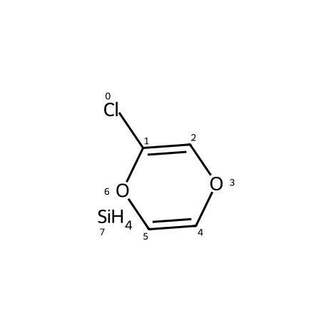 ClC1=COC=CO1.[SiH4]